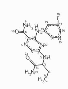 CCC(Nc1cnc(C(N)=O)c(Nc2cncc(F)c2)n1)C(N)=O